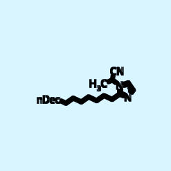 CCCCCCCCCCCCCCCCCc1nccn1C(C)C#N